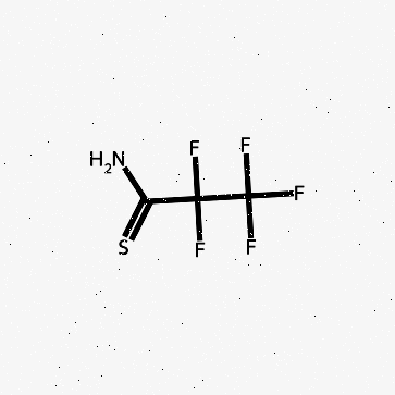 NC(=S)C(F)(F)C(F)(F)F